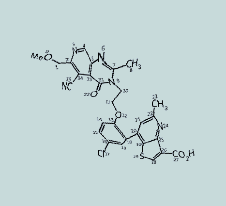 COCc1ncc2nc(C)n(CCOc3ccc(Cl)cc3-c3cc(C)nc4c(C(=O)O)csc34)c(=O)c2c1C#N